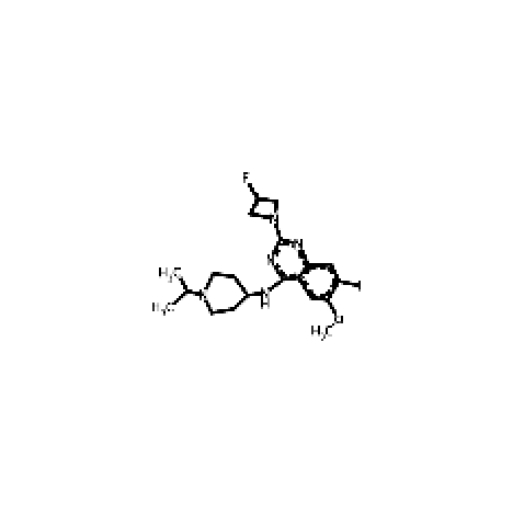 COc1cc2c(NC3CCN(C(C)C)CC3)nc(N3CC(F)C3)nc2cc1I